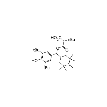 CCCCC(C(=O)O)C(=O)OC(c1cc(C(C)(C)C)c(O)c(C(C)(C)C)c1)C1CC(C)(C)N(C)C(C)(C)C1